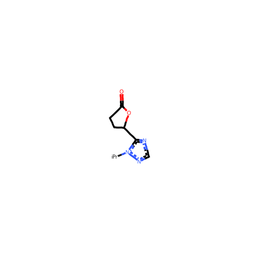 CC(C)n1ncnc1C1CCC(=O)O1